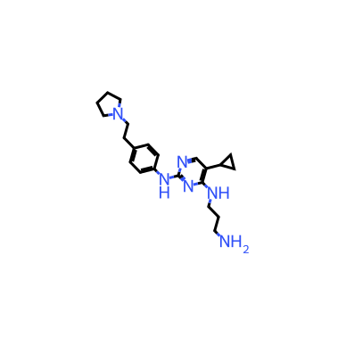 NCCCNc1nc(Nc2ccc(CCN3CCCC3)cc2)ncc1C1CC1